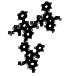 CN(C)C(=O)c1nc(-c2ccncc2)nc2c1c1cc(Cl)ccc1n2C.CN(C)C(=O)c1nc(-c2ccncc2)nc2c1c1ccc(F)cc1n2C.Cn1c2cc(Cl)ccc2c2c(C(=O)N3CCCC3)nc(-c3ccncc3)nc21